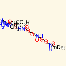 CCCCCCCCCCCC(=O)NCCOCCOCC(=O)NCCOCCOCC(=O)NCCCC[C@H](CC(=O)C(C)(C)NC(=O)[C@@H](N)Cc1cnc[nH]1)C(=O)O